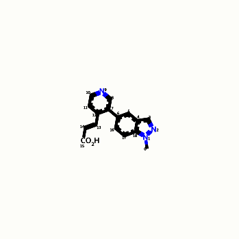 Cn1ncc2cc(-c3cnccc3C=CC(=O)O)ccc21